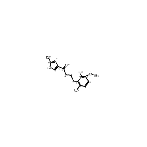 CCOc1ccc(C(C)=O)c(CCCC(=O)c2coc(Cl)n2)c1Cl